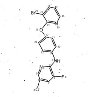 Fc1cc(Cl)cnc1Nc1ccc(Oc2ncccc2Br)cc1